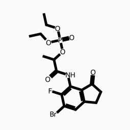 CCOP(=O)(OCC)OC(C)C(=O)Nc1c(F)c(Br)cc2c1C(=O)CC2